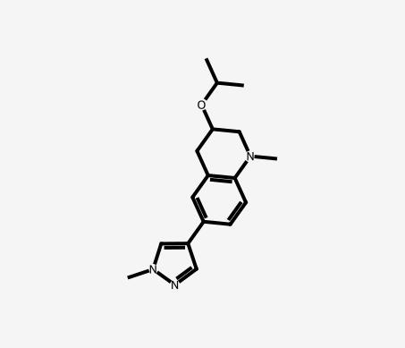 CC(C)OC1Cc2cc(-c3cnn(C)c3)ccc2N(C)C1